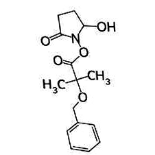 CC(C)(OCc1ccccc1)C(=O)ON1C(=O)CCC1O